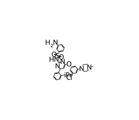 CC(C)c1ccccc1-c1cc(Oc2cc(Cl)cc(N3CCN(C)CC3)c2)nc(NS(=O)(=O)c2cccc(N)c2)n1